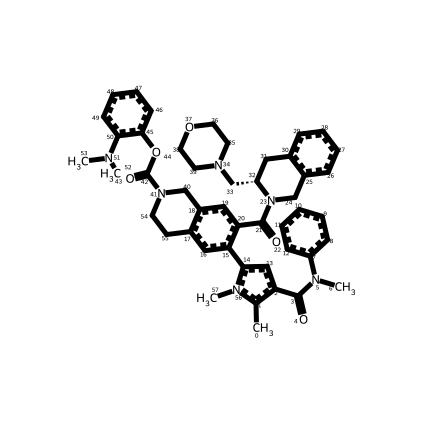 Cc1c(C(=O)N(C)c2ccccc2)cc(-c2cc3c(cc2C(=O)N2Cc4ccccc4C[C@H]2CN2CCOCC2)CN(C(=O)Oc2ccccc2N(C)C)CC3)n1C